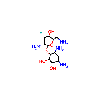 NC[C@H]1O[C@H](O[C@H]2[C@H](O)[C@@H](O)C(N)C[C@@H]2N)[C@H](N)[C@H](F)[C@@H]1O